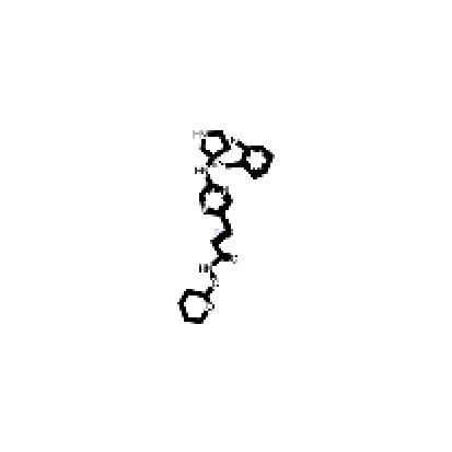 O=C(/C=C/c1cnc(N[C@]2(Cc3ccccc3F)CCNC2)cn1)NOC1CCCCO1